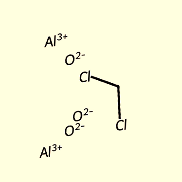 ClCCl.[Al+3].[Al+3].[O-2].[O-2].[O-2]